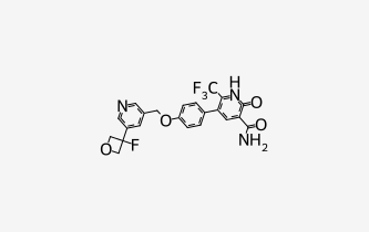 NC(=O)c1cc(-c2ccc(OCc3cncc(C4(F)COC4)c3)cc2)c(C(F)(F)F)[nH]c1=O